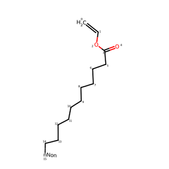 C=COC(=O)CCCCCCCCCCCCCCCCCCC